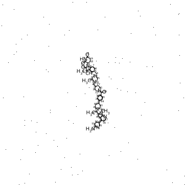 C[C@H]1CN(Cc2ccc3c(c2)C(C)(C)C(=O)N3[C@H]2CCC(=O)NC2=O)CCN1CC1CCN(C(=O)c2ccc(C3CCN([C@@H](C)c4cc5c(-c6ccc(N)nc6)ccnc5n4C)CC3)cc2)CC1